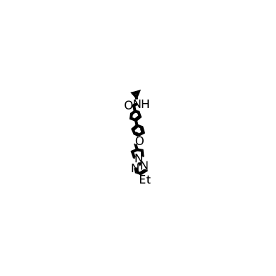 CCc1cnc(N2CCC(COc3ccc(C4=CCC(C(=O)NC5CC5)CC4)cc3)CC2)nc1